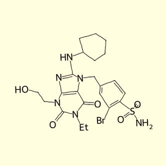 CCn1c(=O)c2c(nc(NC3CCCCC3)n2Cc2ccc(S(N)(=O)=O)c(Br)c2)n(CCO)c1=O